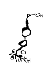 CC(CCc1ccc(-c2ccc(C#CC3C[C@@H]3CO)cc2)cc1)(C(=O)NO)S(C)(=O)=O